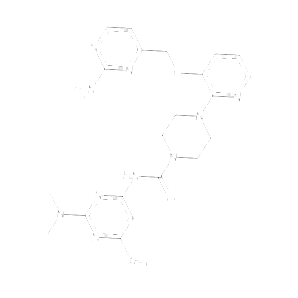 CN(C)c1nc(NC(=O)N2CCN(c3ncccc3OCc3ccnc(N)n3)CC2)cc(C(C)(C)C)n1